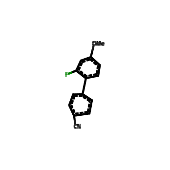 COc1ccc(-c2ccc(C#N)cc2)c(F)c1